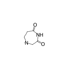 O=C1CC[N]CC(=O)N1